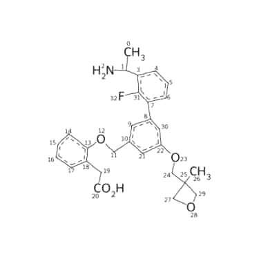 CC(N)c1cccc(-c2cc(COc3ccccc3CC(=O)O)cc(OCC3(C)COC3)c2)c1F